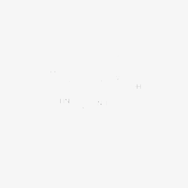 O=C1CC(C(O)=S)NC(=O)N1